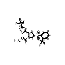 COC(=O)[C@@H]1C[C@@H](S(=O)(=O)c2ccccc2C(F)(F)F)CN1c1nnc(C(F)(F)F)s1